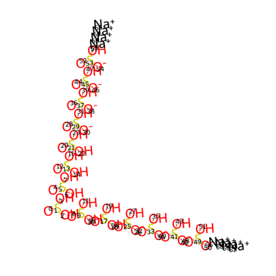 O=S(O)O.O=S(O)O.O=S(O)O.O=S(O)O.O=S(O)O.O=S(O)O.O=S([O-])O.O=S([O-])O.O=S([O-])O.O=S([O-])O.O=S([O-])O.O=S([O-])O.O=S([O-])O.O=S([O-])O.[Na+].[Na+].[Na+].[Na+].[Na+].[Na+].[Na+].[Na+]